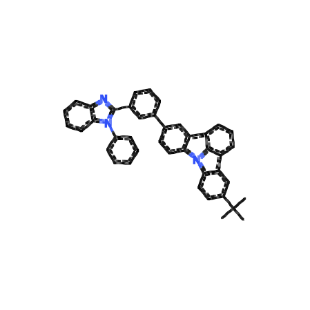 CC(C)(C)c1ccc2c(c1)c1cccc3c4cc(-c5cccc(-c6nc7ccccc7n6-c6ccccc6)c5)ccc4n2c31